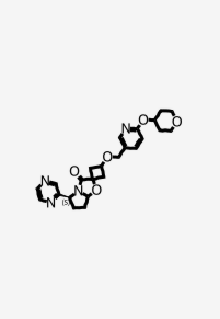 O=C1N2C(CC[C@H]2c2cnccn2)OC12CC(OCc1ccc(OC3CCOCC3)nc1)C2